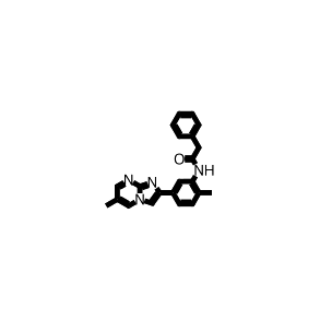 Cc1cnc2nc(-c3ccc(C)c(NC(=O)Cc4ccccc4)c3)cn2c1